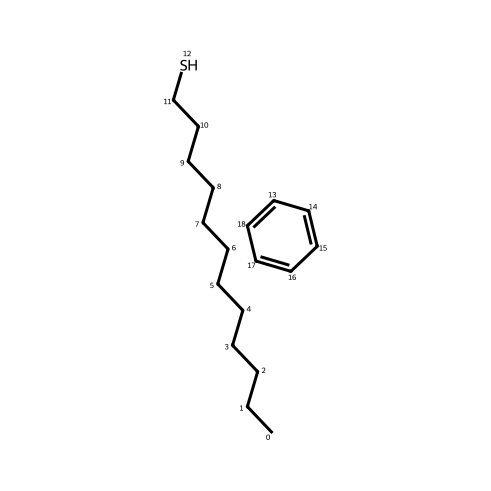 CCCCCCCCCCCCS.c1ccccc1